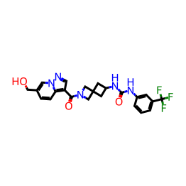 O=C(Nc1cccc(C(F)(F)F)c1)NC1CC2(C1)CN(C(=O)c1cnn3cc(CO)ccc13)C2